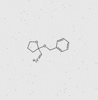 C=CC1(OCc2ccccc2)CCCO1